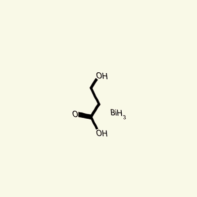 O=C(O)CCO.[BiH3]